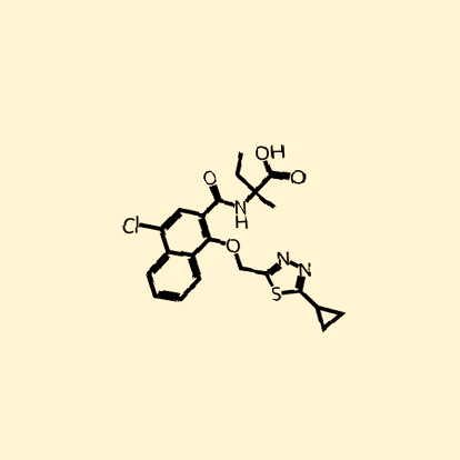 CCC(C)(NC(=O)c1cc(Cl)c2ccccc2c1OCc1nnc(C2CC2)s1)C(=O)O